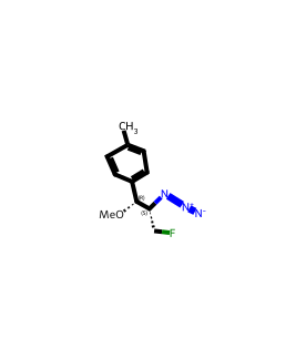 CO[C@H](c1ccc(C)cc1)[C@@H](CF)N=[N+]=[N-]